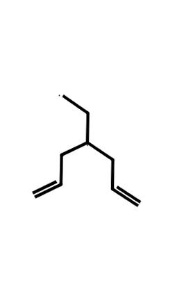 [CH2]C[C](CC=C)CC=C